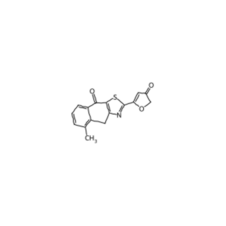 Cc1cccc2c1Cc1nc(C3=CC(=O)CO3)sc1C2=O